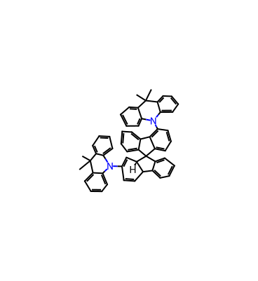 CC1(C)c2ccccc2N(C2=C[C@H]3C(C=C2)c2ccccc2C32c3ccccc3-c3c(N4c5ccccc5C(C)(C)c5ccccc54)cccc32)c2ccccc21